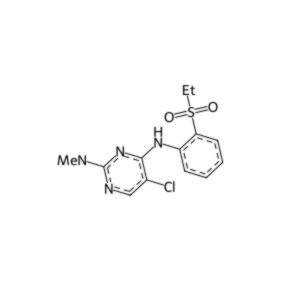 CCS(=O)(=O)c1ccccc1Nc1nc(NC)ncc1Cl